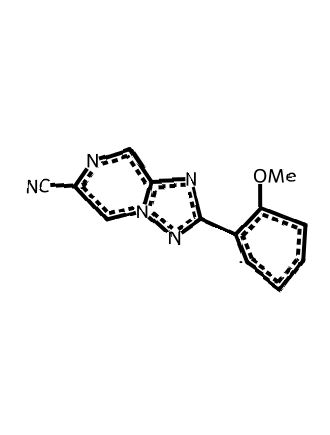 COc1ccc[c]c1-c1nc2cnc(C#N)cn2n1